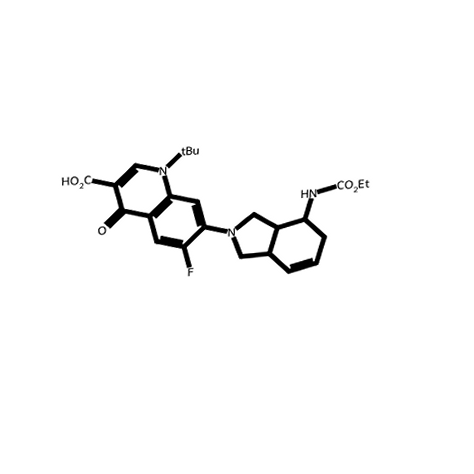 CCOC(=O)NC1CC=CC2CN(c3cc4c(cc3F)c(=O)c(C(=O)O)cn4C(C)(C)C)CC21